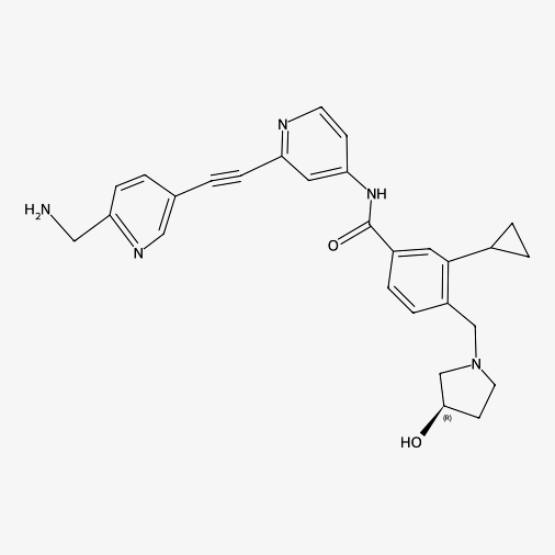 NCc1ccc(C#Cc2cc(NC(=O)c3ccc(CN4CC[C@@H](O)C4)c(C4CC4)c3)ccn2)cn1